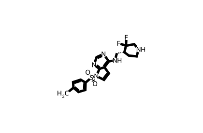 Cc1ccc(S(=O)(=O)n2ccc3c(NC[C@H]4CCNCC4(F)F)ncnc32)cc1